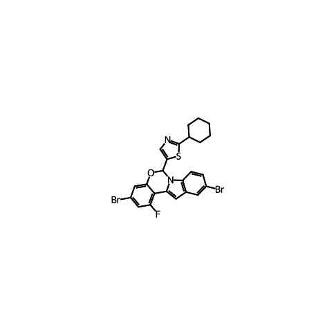 Fc1cc(Br)cc2c1-c1cc3cc(Br)ccc3n1C(c1cnc(C3CCCCC3)s1)O2